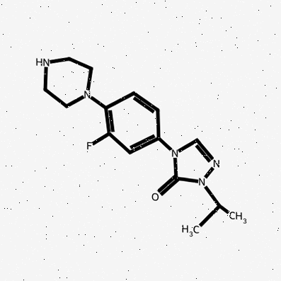 CC(C)n1ncn(-c2ccc(N3CCNCC3)c(F)c2)c1=O